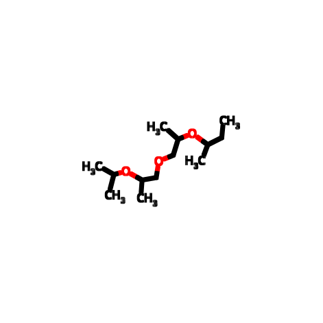 CCC(C)OC(C)COCC(C)OC(C)C